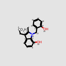 Cc1c(CC(=O)O)c2cccc(O)c2n1Cc1ccccc1O